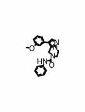 COc1cccc(-c2cnn3c2CN(C(=O)Nc2ccccc2)CC3)c1